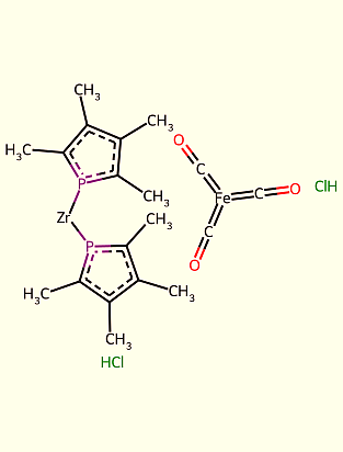 Cc1c(C)c(C)[p]([Zr][p]2c(C)c(C)c(C)c2C)c1C.Cl.Cl.O=[C]=[Fe](=[C]=O)=[C]=O